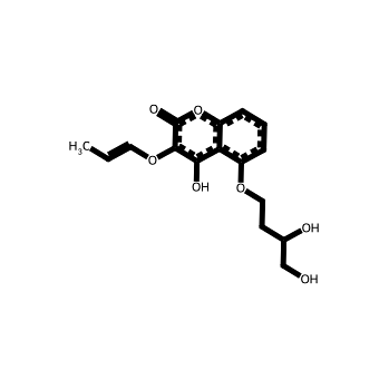 CC=COc1c(O)c2c(OCCC(O)CO)cccc2oc1=O